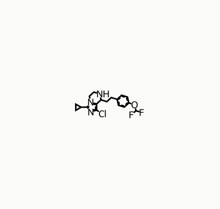 FC(F)Oc1ccc(CCC2NCCn3c(C4CC4)nc(Cl)c32)cc1